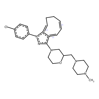 CN1CCN(CC2CN(c3nn(-c4ccc(Cl)cc4)c4/c3=C\C=C/CC/C=4)CCO2)CC1